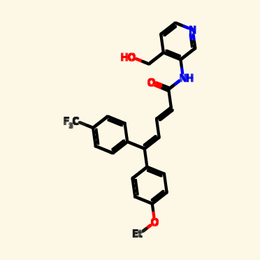 CCOc1ccc(C(=CC=CC(=O)Nc2cnccc2CO)c2ccc(C(F)(F)F)cc2)cc1